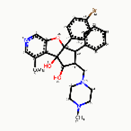 COc1cncc2c1C1(O)C(O)C(CN3CCN(C)CC3)C(c3ccccc3)C1(c1ccc(Br)cc1)O2